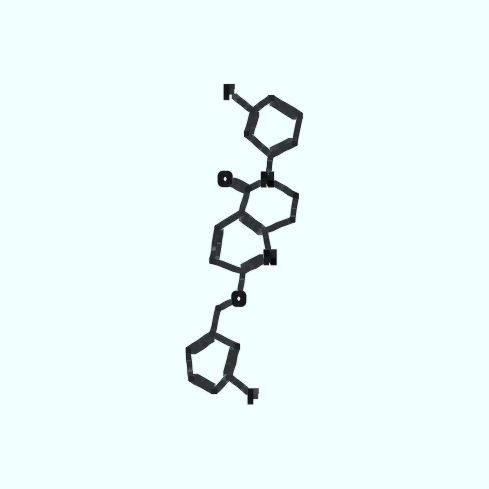 O=C1c2ccc(OCc3cccc(F)c3)nc2CCN1c1cccc(F)c1